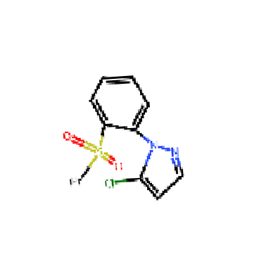 CC(C)S(=O)(=O)c1ccccc1-n1nccc1Cl